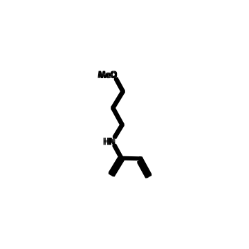 C=CC(=C)NCCCOC